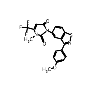 COc1ccc(-c2nsc3ccc(-n4c(=O)cc(C(F)(F)F)n(C)c4=O)cc23)cc1